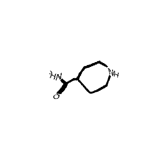 [NH]C(=O)C1CCNCC1